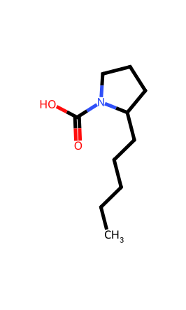 CCCCCC1CCCN1C(=O)O